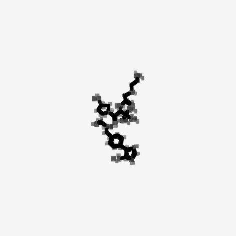 CCCOCC(=O)N[C@H](C(=O)N1C[C@H](O)C[C@H]1C(=O)NCc1ccc(-c2scnc2C)cc1)C(C)(C)C